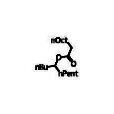 CCCCCCCCCC(=O)OC(CCCC)CCCCC